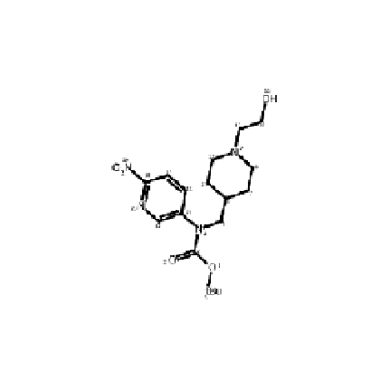 CC(C)(C)OC(=O)N(CC1CCN(CCO)CC1)c1ccc([N+](=O)[O-])nc1